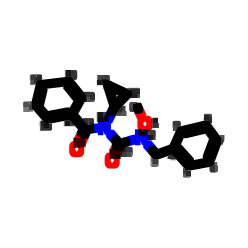 CON(Cc1ccccc1)C(=O)N(C(=O)c1ccccc1)C1CC1